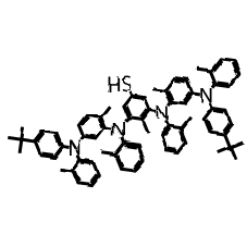 Cc1ccccc1N(c1ccc(C(C)(C)C)cc1)c1ccc(C)c(N(c2ccccc2C)c2cc(S)cc(N(c3ccccc3C)c3cc(N(c4ccc(C(C)(C)C)cc4)c4ccccc4C)ccc3C)c2C)c1